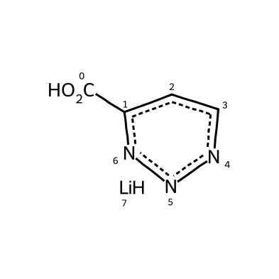 O=C(O)c1ccnnn1.[LiH]